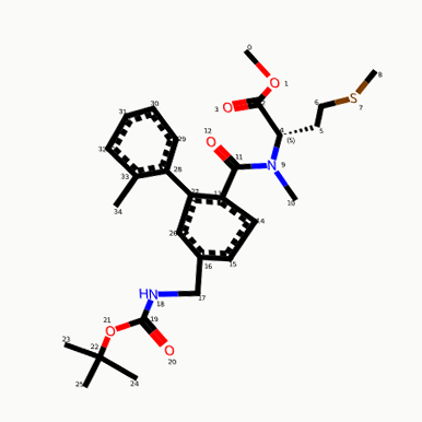 COC(=O)[C@H](CCSC)N(C)C(=O)c1ccc(CNC(=O)OC(C)(C)C)cc1-c1ccccc1C